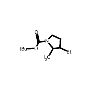 CCC1CCN(C(=O)OC(C)(C)C)C1C